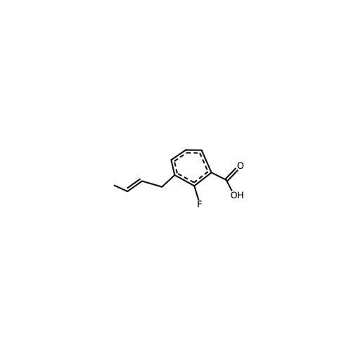 CC=CCc1cccc(C(=O)O)c1F